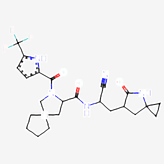 N#CC(CC1CC2(CC2)NC1=O)NC(=O)C1C[Si]2(CCCC2)CN1C(=O)c1ccc(C(F)(F)F)[nH]1